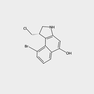 Oc1cc2c(c3c(Br)cccc13)[C@H](CCl)CN2